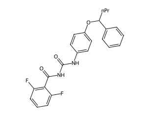 CCCC(Oc1ccc(NC(=O)NC(=O)c2c(F)cccc2F)cc1)c1ccccc1